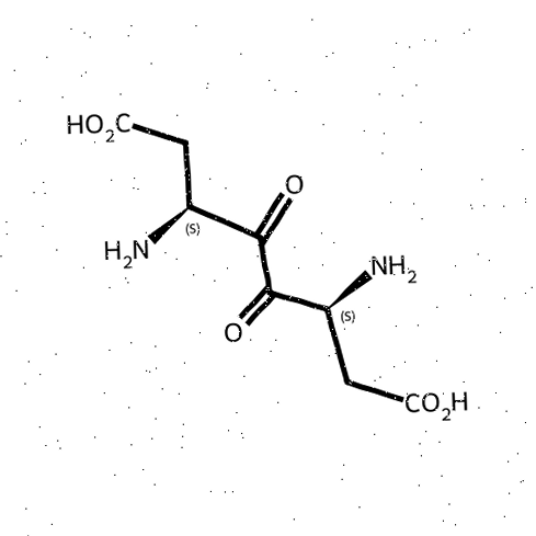 N[C@@H](CC(=O)O)C(=O)C(=O)[C@@H](N)CC(=O)O